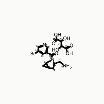 NCC1CC2CC2N1C(=O)c1cncc(Br)c1.O=C(O)C(O)C(O)C(=O)O